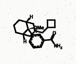 CO[C@@]1(c2cccc(C(N)=O)c2)[C@@H]2CCC[C@H]1CN(CC1CCC1)C2